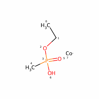 CCOP(C)(=O)O.[Co]